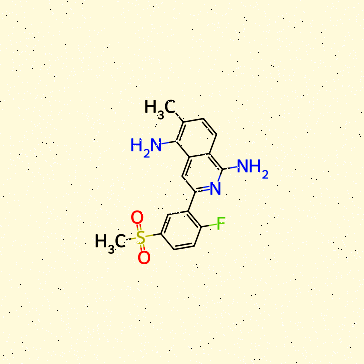 Cc1ccc2c(N)nc(-c3cc(S(C)(=O)=O)ccc3F)cc2c1N